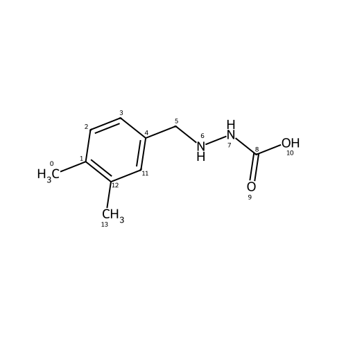 Cc1ccc(CNNC(=O)O)cc1C